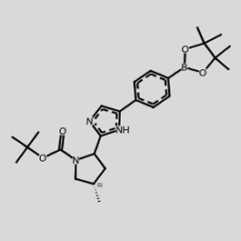 C[C@H]1CC(c2ncc(-c3ccc(B4OC(C)(C)C(C)(C)O4)cc3)[nH]2)N(C(=O)OC(C)(C)C)C1